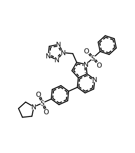 O=S(=O)(c1ccc(-c2ccnc3c2cc(Cn2ncnn2)n3S(=O)(=O)c2ccccc2)cc1)N1CCCC1